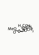 COC(=O)C1CC(=CB2OC(C)(C)C(C)(C)O2)C1